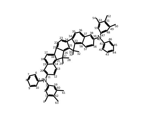 Cc1cc(N(c2ccccc2)c2ccc3c4c(ccc3c2)-c2ccc3c(c2C4(C)C)C(C)(C)c2c-3ccc3cc(N(c4ccccc4)c4cc(C)c(C)c(C)c4)ccc23)cc(C)c1C